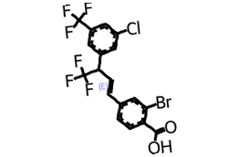 O=C(O)c1ccc(/C=C/C(c2cc(Cl)cc(C(F)(F)F)c2)C(F)(F)F)cc1Br